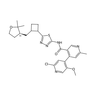 COc1cnc(Cl)cc1-c1cc(C)ncc1C(=O)Nc1nnc(C2CCC2C[C@H]2CCOC2(C)C)s1